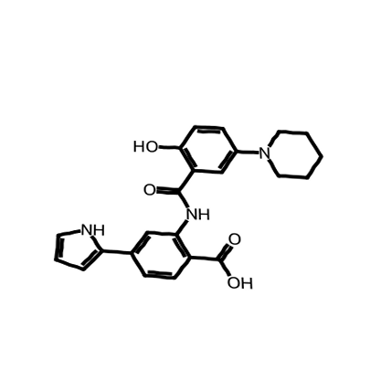 O=C(Nc1cc(-c2ccc[nH]2)ccc1C(=O)O)c1cc(N2CCCCC2)ccc1O